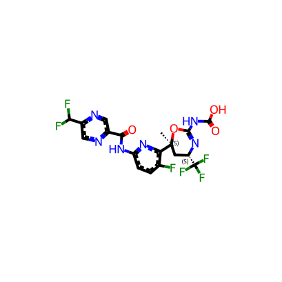 C[C@@]1(c2nc(NC(=O)c3cnc(C(F)F)cn3)ccc2F)C[C@@H](C(F)(F)F)N=C(NC(=O)O)O1